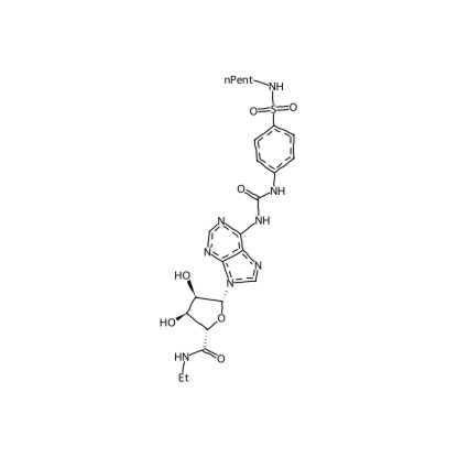 CCCCCNS(=O)(=O)c1ccc(NC(=O)Nc2ncnc3c2ncn3[C@@H]2O[C@H](C(=O)NCC)[C@@H](O)[C@H]2O)cc1